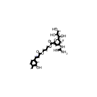 Cc1ccc(/C=C/C(=O)OCCCOC(=O)C2=C[C@H](NC(=N)N)[C@@H](C)[C@H]([C@H](O)[C@H](O)CO)O2)cc1O